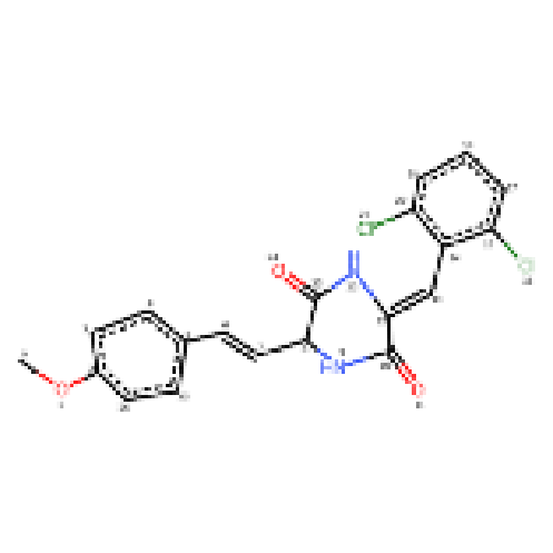 COc1ccc(C=CC2NC(=O)C(=Cc3c(Cl)cccc3Cl)NC2=O)cc1